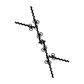 CCCCCCCCCCOC(=O)CCN(CCCCC(=O)OCCN1CC(C)N(CCOC(=O)CCCCN(CCC(=O)OCCCCCCCCCC)CCC(=O)OCCCCCCCCCC)CC1C)CCC(=O)OCCCCCCCCCC